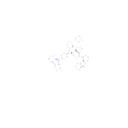 c1ccc(-c2ccccc2-c2ccccc2N(c2ccc(-c3cccc4oc5ccccc5c34)cc2)c2ccc(-n3c4ccccc4c4ccccc43)cc2)cc1